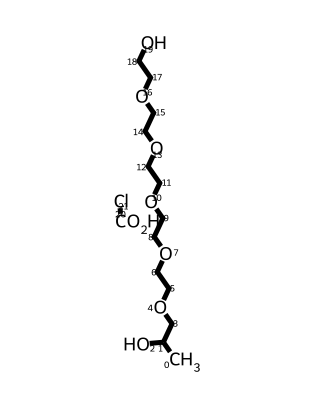 CC(O)COCCOCCOCCOCCOCCO.O=C(O)Cl